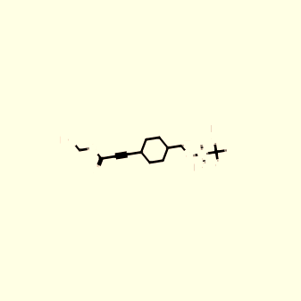 CCOC(=O)C#CC1CCC(CO[Si](C)(C)C(C)(C)C)CC1